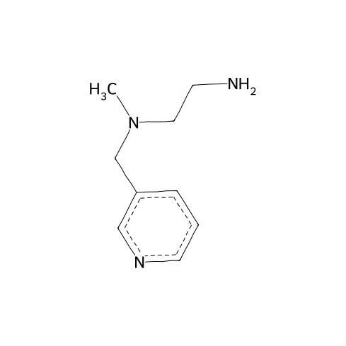 CN(CCN)Cc1cccnc1